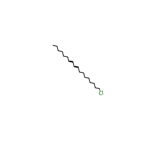 CCCCCCC=CC=CCCCCCCCCCl